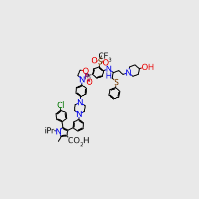 Cc1c(C(=O)O)c(-c2cccc(N3CCN(c4ccc(N5CCO[P@]5(=O)c5ccc(NC(CCN6CCC(O)CC6)CSc6ccccc6)c(S(=O)(=O)C(F)(F)F)c5)cc4)CC3)c2)c(-c2ccc(Cl)cc2)n1C(C)C